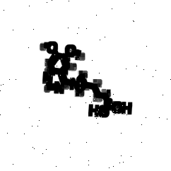 COc1cc2ncnc(N3CC(CCCB(O)O)C3)c2cc1OC